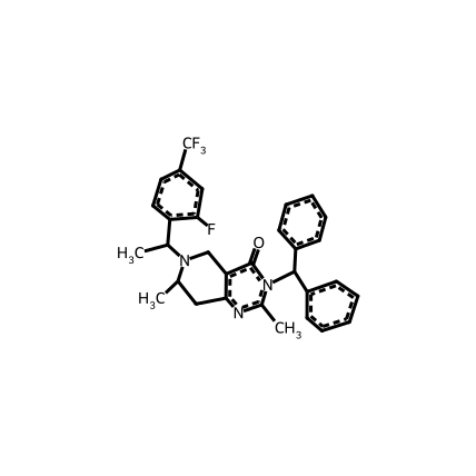 Cc1nc2c(c(=O)n1C(c1ccccc1)c1ccccc1)CN(C(C)c1ccc(C(F)(F)F)cc1F)C(C)C2